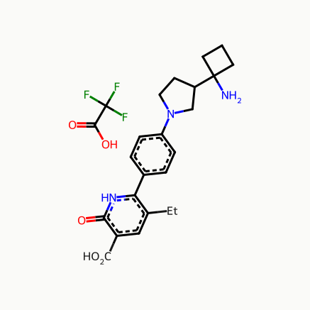 CCc1cc(C(=O)O)c(=O)[nH]c1-c1ccc(N2CCC(C3(N)CCC3)C2)cc1.O=C(O)C(F)(F)F